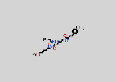 Cc1ccc(CCCC(=O)NCCCC[C@H](NC(=O)CC(C)C)C(=O)NCCCCCCOC(C)C)cc1